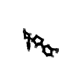 N#CC1([C@H]2CCC(c3cccc(Cl)c3)=N2)COC1